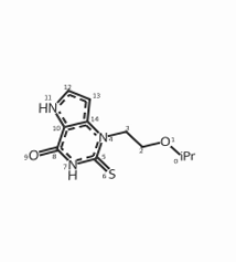 CC(C)OCCn1c(=S)[nH]c(=O)c2[nH]ccc21